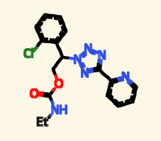 CCNC(=O)OCC(c1ccccc1Cl)n1nnc(-c2ccccn2)n1